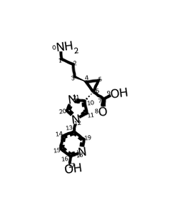 NCCC[C@H]1C[C@]1(C(=O)O)c1cn(-c2ccc(O)nc2)cn1